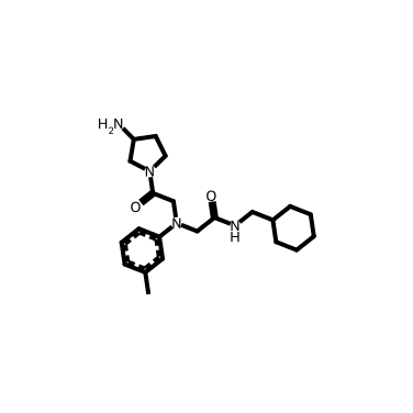 Cc1cccc(N(CC(=O)NCC2CCCCC2)CC(=O)N2CCC(N)C2)c1